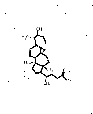 C=C(CC[C@@H](C)C1CC[C@@]2(C)C3CCC4[C@H](C)[C@@H](O)CC[C@@]45C[C@@]35CC[C@]12C)C(C)C